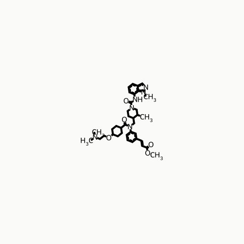 COC(=O)/C=C/c1cccc(N(CC2CCN(C(=O)Nc3cccc4cnn(C)c34)CC2C)C(=O)C2CCC(OCCN(C)C)CC2)c1